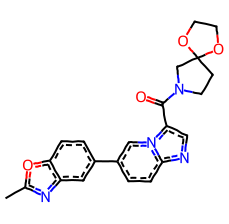 Cc1nc2cc(-c3ccc4ncc(C(=O)N5CCC6(C5)OCCO6)n4c3)ccc2o1